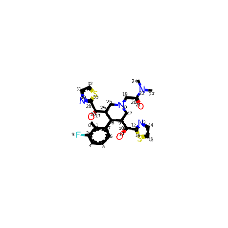 Cc1c(F)cccc1C1C(C(=O)c2nccs2)CN(CC(=O)N(C)C)CC1C(=O)c1nccs1